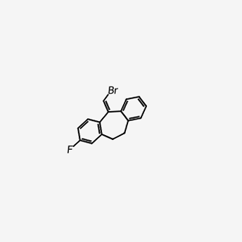 Fc1ccc2c(c1)CCc1ccccc1C2=CBr